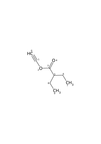 C#COC(=O)C(CC)CC